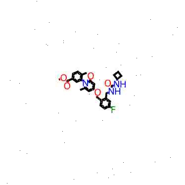 COC(=O)c1ccc(C)c(-n2c(C)cc(OCc3ccc(F)cc3CNC(=O)NC3CCC3)cc2=O)c1